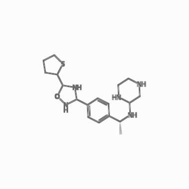 C[C@@H](NC1CNCCN1)c1ccc(C2NOC(C3CCCS3)N2)cc1